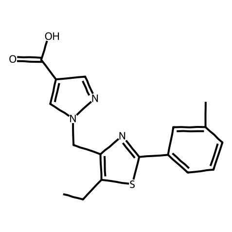 CCc1sc(-c2cccc(C)c2)nc1Cn1cc(C(=O)O)cn1